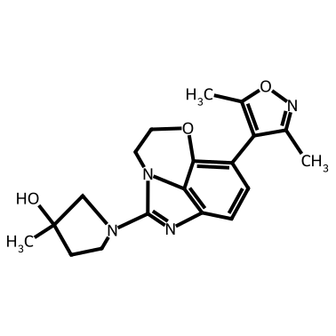 Cc1noc(C)c1-c1ccc2nc(N3CCC(C)(O)C3)n3c2c1OCC3